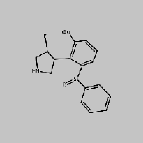 CC(C)(C)c1cccc([Si](=O)c2ccccc2)c1C1CNCC1F